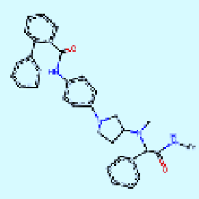 CCCNC(=O)C(c1ccccc1)N(C)C1CCN(c2ccc(NC(=O)c3ccccc3-c3ccccc3)cc2)C1